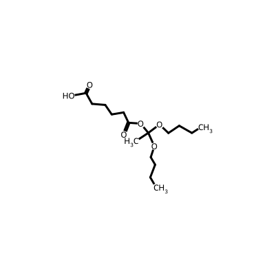 CCCCOC(C)(OCCCC)OC(=O)CCCCC(=O)O